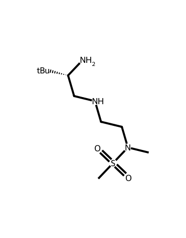 CN(CCNC[C@@H](N)C(C)(C)C)S(C)(=O)=O